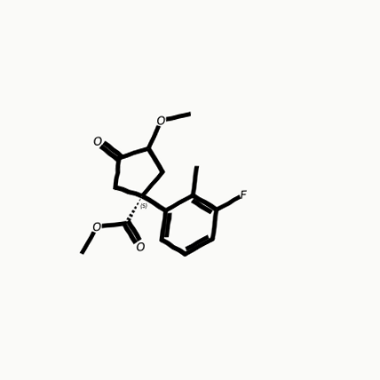 COC(=O)[C@]1(c2cccc(F)c2C)CC(=O)C(OC)C1